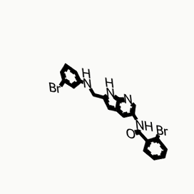 O=C(Nc1cnc2[nH]c(CNc3cccc(Br)c3)cc2c1)c1ccccc1Br